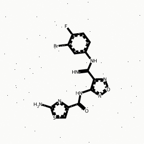 N=C(Nc1ccc(F)c(Br)c1)c1nonc1NC(=O)c1csc(N)n1